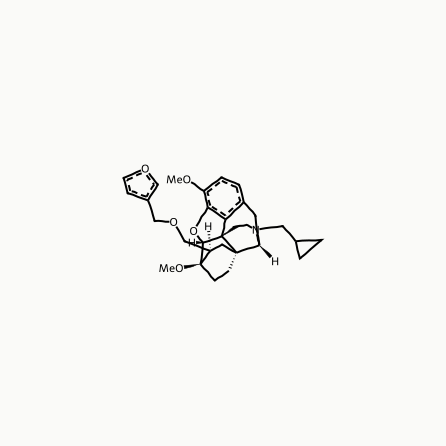 COc1ccc2c3c1O[C@H]1[C@@]4(OC)CC[C@@]5(C[C@@H]4COCc4ccoc4)[C@@H](C2)N(CC2CC2)CC[C@]315